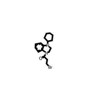 O=C(CCBr)N1CCN(C2CCCCC2)c2ccccc21